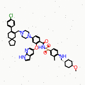 CO[C@H]1CC[C@H](CNc2ccc(S(=O)(=O)NC(=O)c3ccc(N4CCN(CC5=C(c6ccc(Cl)cc6)CCC6(CCCC6)C5)CC4)cc3Oc3cnc4[nH]ccc4c3)cc2C)CC1